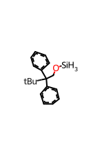 CC(C)(C)C(CO[SiH3])(c1ccccc1)c1ccccc1